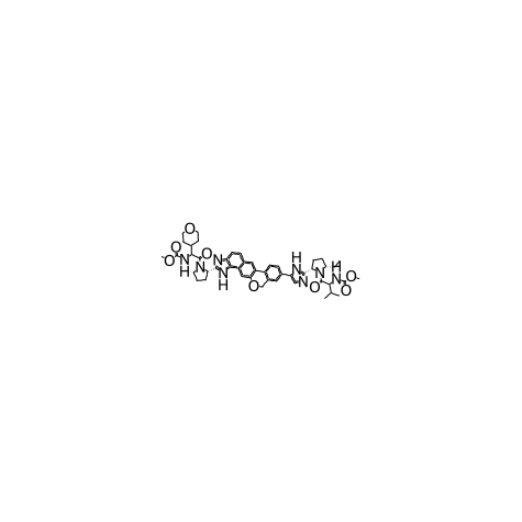 CC[C@H]1CC[C@@H](c2ncc(-c3ccc4c(c3)COc3cc5c(ccc6nc([C@@H]7CC[C@H](C)N7C(=O)C(NC(=O)OC)C7CCOCC7)[nH]c65)cc3-4)[nH]2)N1C(=O)C(NC(=O)OC)C(C)C